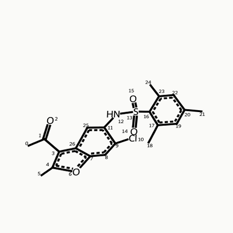 CC(=O)c1c(C)oc2cc(Cl)c(NS(=O)(=O)c3c(C)cc(C)cc3C)cc12